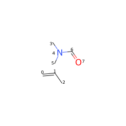 C=CC.CN(C)C=O